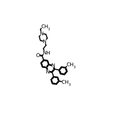 CCN1CCN(CCNC(=O)c2ccc3nc(-c4cccc(C)c4)c(-c4cccc(C)c4)nc3c2)CC1